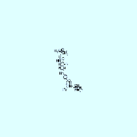 CC(C)CC[C@H](CC(=O)c1ccc(NCC2=NC3C(=O)N=C(NC(=O)OCC[Si](C)(C)C)N=C3N=C2)cc1)C(=O)NCC[Si](C)(C)C